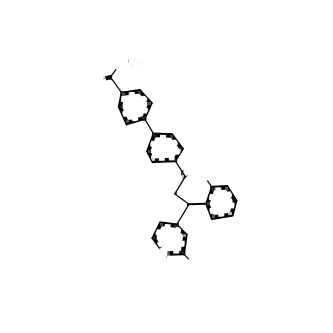 COC(=O)c1ccc(-c2ccc(CCC(c3ccnc(C)c3)c3ccccc3C=O)cc2)cc1